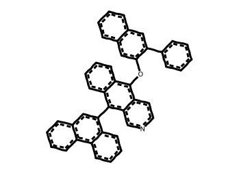 c1ccc(-c2cc3ccccc3cc2Oc2c3ccccc3c(-c3cc4ccccc4c4ccccc34)c3cnccc23)cc1